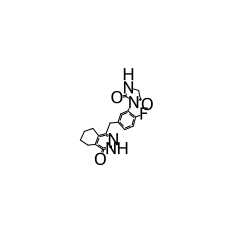 O=C1CNC(=O)N1c1cc(Cc2n[nH]c(=O)c3c2CCCC3)ccc1F